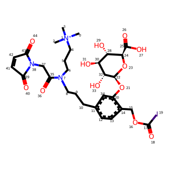 C[N+](C)(C)CCCN(CCCc1ccc(COC(=O)I)c(O[C@@H]2O[C@H](C(=O)O)[C@@H](O)[C@H](O)[C@H]2O)c1)C(=O)CN1C(=O)C=CC1=O